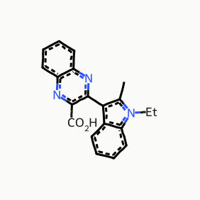 CCn1c(C)c(-c2nc3ccccc3nc2C(=O)O)c2ccccc21